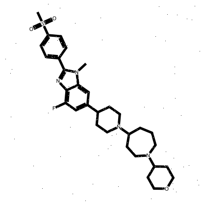 Cn1c(-c2ccc(S(C)(=O)=O)cc2)nc2c(F)cc(C3CCN(C4CCCN(C5CCOCC5)CC4)CC3)cc21